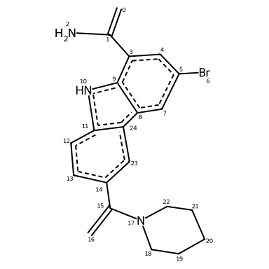 C=C(N)c1cc(Br)cc2c1[nH]c1ccc(C(=C)N3CCCCC3)cc12